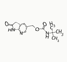 CC(C)(C)NC(=O)OCc1cnc2c(c1)CC(=O)N2